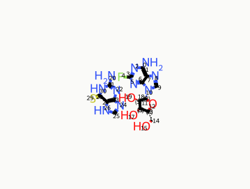 Nc1nc(F)nc2c1ncn2[C@@H]1O[C@H](CO)[C@@H](O)[C@@H]1O.Nc1nc2nc[nH]c2c(=S)[nH]1